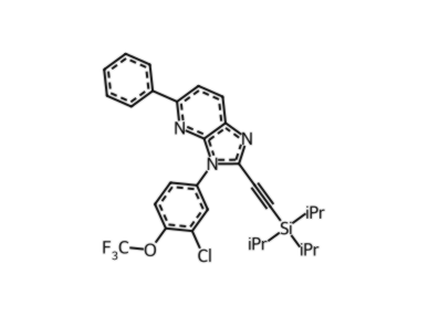 CC(C)[Si](C#Cc1nc2ccc(-c3ccccc3)nc2n1-c1ccc(OC(F)(F)F)c(Cl)c1)(C(C)C)C(C)C